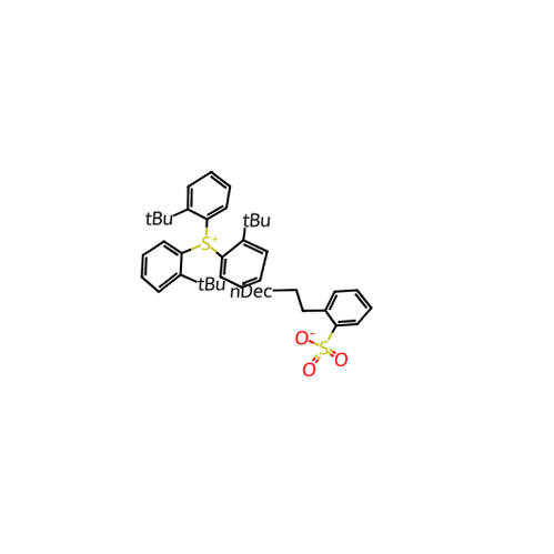 CC(C)(C)c1ccccc1[S+](c1ccccc1C(C)(C)C)c1ccccc1C(C)(C)C.CCCCCCCCCCCCc1ccccc1S(=O)(=O)[O-]